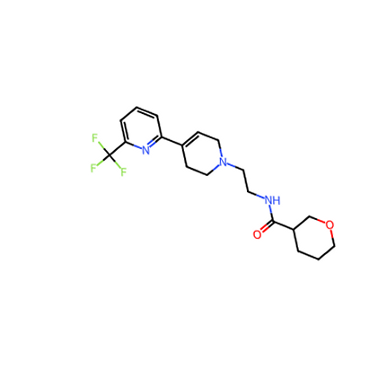 O=C(NCCN1CC=C(c2cccc(C(F)(F)F)n2)CC1)C1CCCOC1